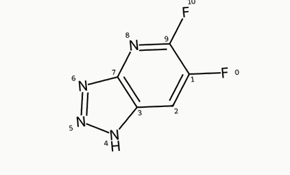 Fc1cc2[nH]nnc2nc1F